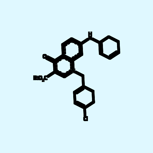 CCOC(=O)c1cn(CC2=CC=C(Cl)CC2)c2cc(NC3=CC=CCC3)ccc2c1=O